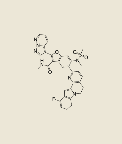 CNC(=O)c1c(-c2cnn3ncccc23)oc2cc(N(C)S(C)(=O)=O)c(-c3ccc4c(n3)-c3cc5c(n3CC4)CCC=C5F)cc12